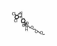 CCOCCOCCOCCNS(=O)(=O)c1ccc([C@H]2CN(C)Cc3c(Cl)cc(Cl)cc32)cc1